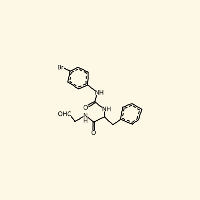 O=CCNC(=O)C(Cc1ccccc1)NC(=O)Nc1ccc(Br)cc1